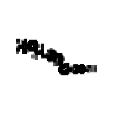 O=C(NCc1cc2nc(-c3cccc(N4CC5(CC(O)C5)C4)n3)ccc2cn1)c1cccc(S(=O)(=O)C(F)F)c1